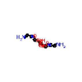 NCc1cccc(C2CCN(C(=O)c3cccc(OC[C@]4(O)CO[C@](O)(COc5cccc(C(=O)N6CCC(c7cccc(CN)c7)CC6)c5)CO4)c3)CC2)c1